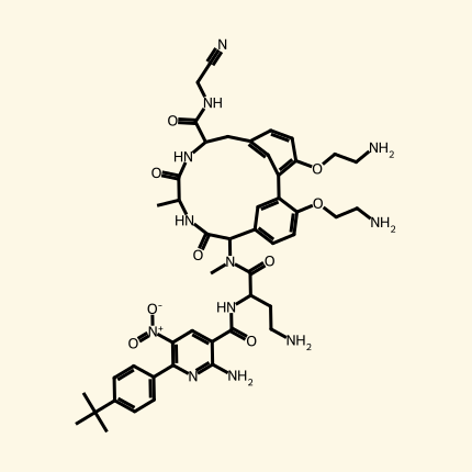 CC1NC(=O)C(N(C)C(=O)C(CCN)NC(=O)c2cc([N+](=O)[O-])c(-c3ccc(C(C)(C)C)cc3)nc2N)c2ccc(OCCN)c(c2)-c2cc(ccc2OCCN)CC(C(=O)NCC#N)NC1=O